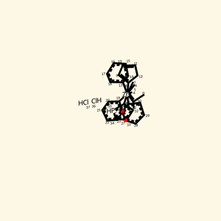 C[C](C)=[Zr]([CH3])([CH3])([CH3])([CH3])([C]1=CC=CC1)([c]1ccccc1)([c]1ccccc1)([c]1ccccc1)[c]1ccc[pH]1.Cl.Cl